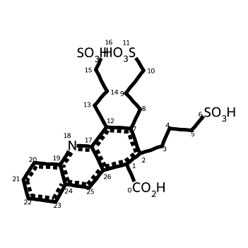 O=C(O)c1c(CCCS(=O)(=O)O)c(CCCS(=O)(=O)O)c(CCCS(=O)(=O)O)c2nc3ccccc3cc12